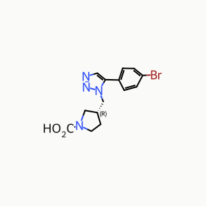 O=C(O)N1CC[C@@H](Cn2nncc2-c2ccc(Br)cc2)C1